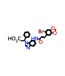 O=C(O)CC(c1ccccc1)n1cnc2ccc(NC(=O)C=Cc3cc4c(cc3Br)OCO4)cc21